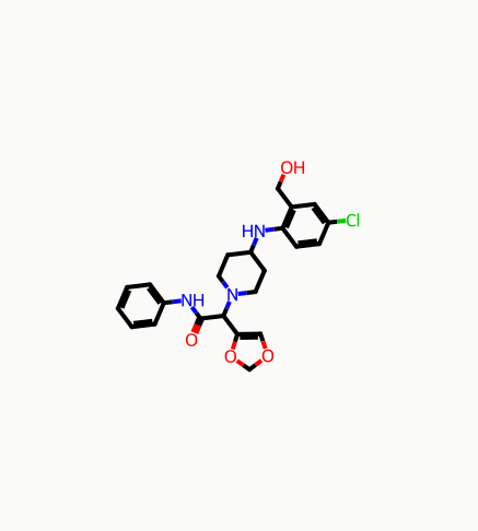 O=C(Nc1ccccc1)C(C1=COCO1)N1CCC(Nc2ccc(Cl)cc2CO)CC1